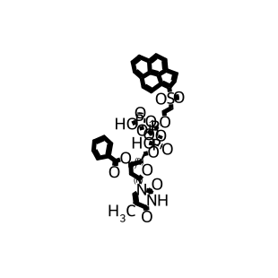 Cc1cn([C@H]2C[C@H](OC(=O)c3ccccc3)[C@@H](COP(=O)(O)OP(=O)(OCCS(=O)(=O)c3ccc4ccc5cccc6ccc3c4c56)OP(=O)(O)O)O2)c(=O)[nH]c1=O